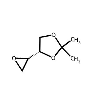 CC1(C)OC[C@@H](C2CO2)O1